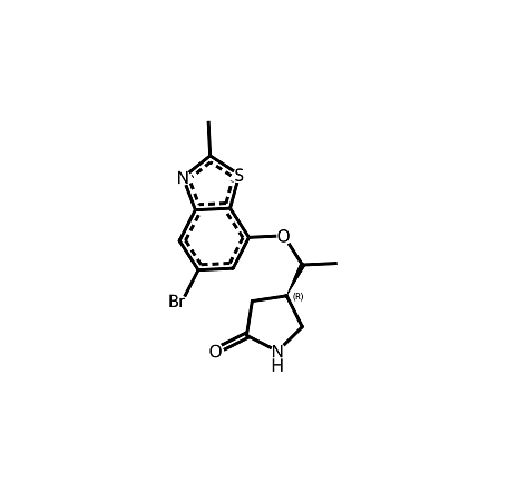 Cc1nc2cc(Br)cc(OC(C)[C@H]3CNC(=O)C3)c2s1